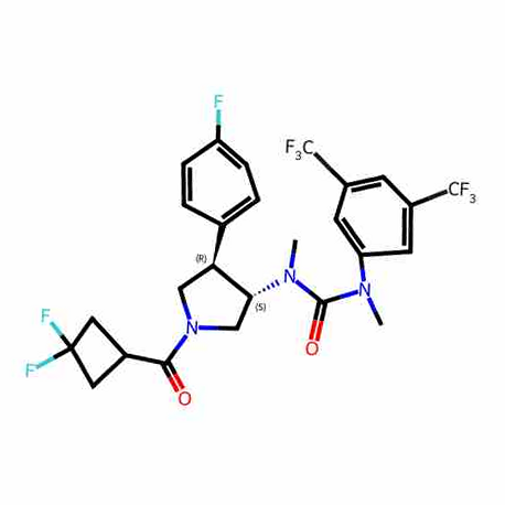 CN(C(=O)N(C)[C@@H]1CN(C(=O)C2CC(F)(F)C2)C[C@H]1c1ccc(F)cc1)c1cc(C(F)(F)F)cc(C(F)(F)F)c1